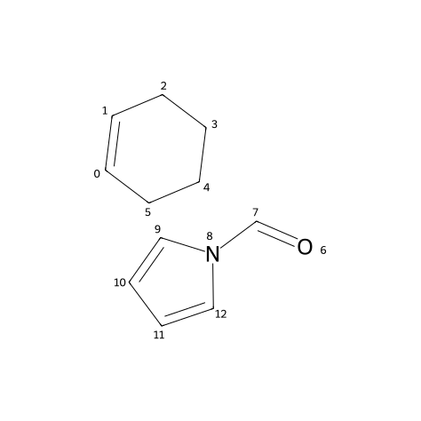 C1=CCCCC1.O=Cn1cccc1